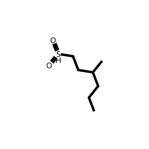 CCCC(C)CC[SH](=O)=O